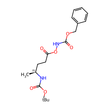 C[C@@H](CCC(=O)ONC(=O)OCc1ccccc1)NC(=O)OC(C)(C)C